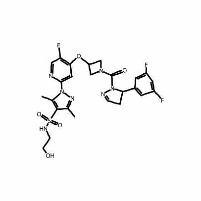 Cc1nn(-c2cc(OC3CN(C(=O)N4N=CCC4c4cc(F)cc(F)c4)C3)c(F)cn2)c(C)c1S(=O)(=O)NCCO